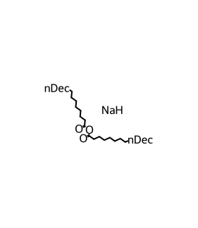 CCCCCCCCCCCCCCCCCC(=O)OC(=O)CCCCCCCCCCCCCCCCC.[NaH]